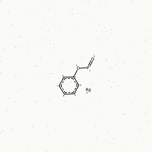 O=POc1ccccc1.[Ag]